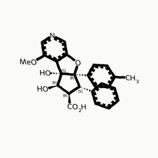 COc1cncc2c1[C@]1(O)[C@H](O)[C@H](C(=O)O)[C@@H](c3ccccc3)[C@]1(c1ccc(C)cc1)O2